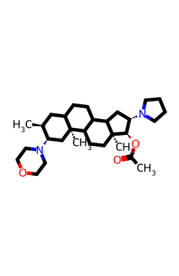 CC(=O)O[C@H]1[C@@H](N2CCCC2)CC2C3CCC4C[C@H](C)[C@@H](N5CCOCC5)C[C@]4(C)C3CC[C@@]21C